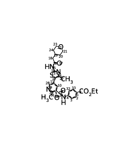 CCOC(=O)c1ccc(NS(=O)(=O)c2cc(-c3sc(NC(=O)CC4CCOCC4)nc3C)cnc2C)cc1